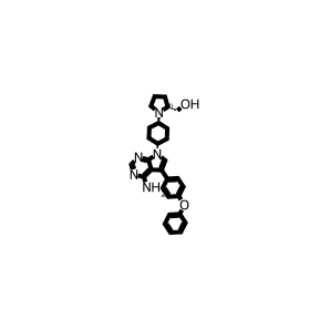 Nc1ncnc2c1c(-c1ccc(Oc3ccccc3)cc1)cn2[C@H]1CC[C@H](N2CCC[C@@H]2CO)CC1